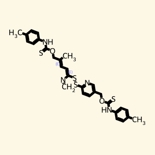 C=N/C(=C\C=C(/C)COC(=S)Nc1ccc(C)cc1)SSc1ccc(COC(=S)Nc2ccc(C)cc2)cn1